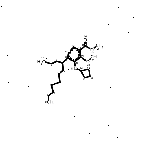 CCCCCCCC(CCC)c1ccc(C(=O)OC)c(OC)c1OC1CCC1